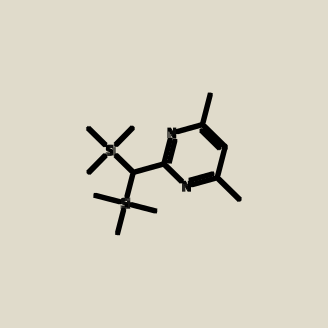 Cc1cc(C)nc(C([Si](C)(C)C)[Si](C)(C)C)n1